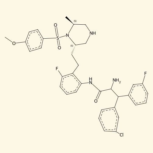 COc1ccc(S(=O)(=O)N2[C@@H](CCc3c(F)cccc3NC(=O)C(N)C(c3cccc(F)c3)c3cccc(Cl)c3)CNC[C@@H]2C)cc1